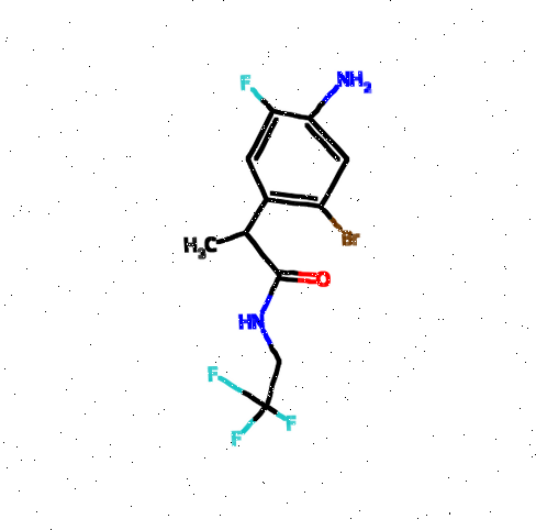 CC(C(=O)NCC(F)(F)F)c1cc(F)c(N)cc1Br